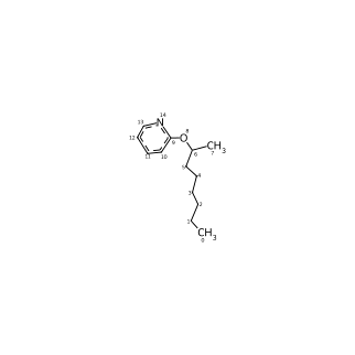 CCCCCCC(C)Oc1ccccn1